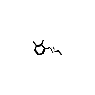 CCO[SiH2]c1cccc(C)c1C